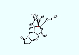 N=C1N[C@H]2[C@H](CN3C(=O)CCC3=O)NC(=N)N3C[C@H](OOO)C(O)(O)[C@]23N1